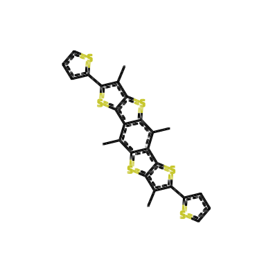 Cc1c(-c2cccs2)sc2c1sc1c(C)c3c(sc4c(C)c(-c5cccs5)sc43)c(C)c12